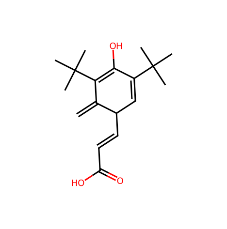 C=C1C(C(C)(C)C)=C(O)C(C(C)(C)C)=CC1C=CC(=O)O